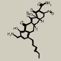 CCCCCCc1cc(CN)c(O)c2c1C[C@H]1C[C@H]3CC(N=O)=C(C(N)=O)C(=O)[C@@]3(O)C(O)=C1C2=O